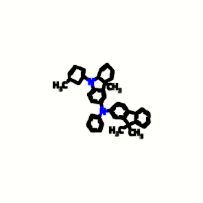 CC1C=CC=C(N2c3ccc(N(c4ccccc4)c4ccc5c(c4)C(C)(C)c4ccccc4-5)cc3C3(C)C=CC=CC23)C1